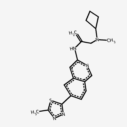 C=C(CN(C)C1CCC1)Nc1cc2cc(-c3nnc(C)s3)ccc2cn1